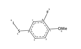 COc1ccc(SI)cc1F